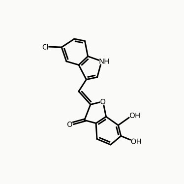 O=C1C(=Cc2c[nH]c3ccc(Cl)cc23)Oc2c1ccc(O)c2O